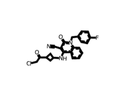 N#Cc1c(NC2CC(C(=O)CCl)C2)c2ccccc2n(Cc2ccc(F)cc2)c1=O